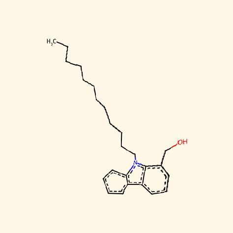 CCCCCCCCCCCCn1c2ccccc2c2cccc(CO)c21